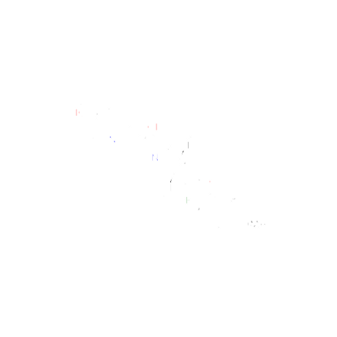 COc1ccc(F)c(O[C@@H]2C[C@@H]3CN(CC(O)c4ccc(O)cn4)C[C@@H]3C2)c1